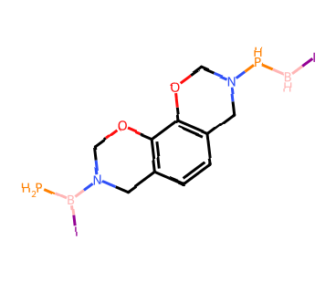 PB(I)N1COc2c(ccc3c2OCN(PBI)C3)C1